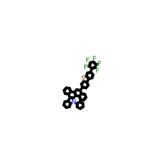 Fc1c(F)c(F)c(-c2ccc3c(c2)sc2cc(-c4cc5c6ccccc6c6c7ccccc7n(-c7ccccc7)c6c5c5ccccc45)ccc23)c(F)c1F